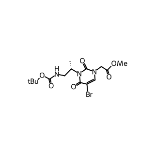 COC(=O)Cn1cc(Br)c(=O)n([C@@H](C)CNC(=O)OC(C)(C)C)c1=O